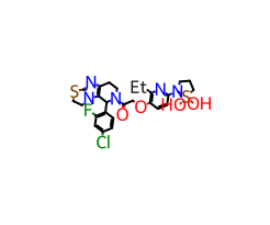 CCc1nc(N2CCCS2(O)O)ccc1OCC(=O)N1CCc2nc3n(c2C1c1ccc(Cl)cc1F)CCS3